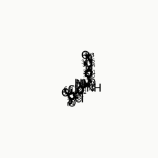 COc1cc(OC)c(Cl)c(-c2ccc(C(=N)NC(=O)c3ccc(N4CCN(C(C)=O)CC4)cc3)c(N)c2)c1Cl